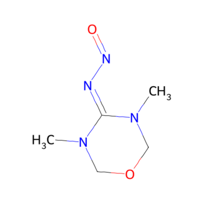 CN1COCN(C)C1=NN=O